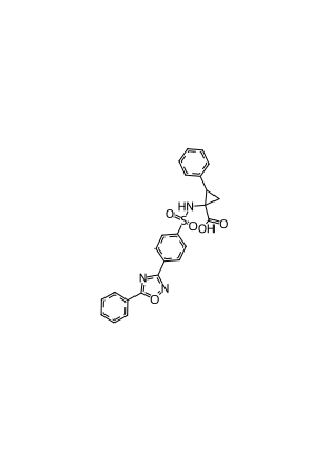 O=C(O)C1(NS(=O)(=O)c2ccc(-c3noc(-c4ccccc4)n3)cc2)CC1c1ccccc1